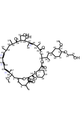 COC1CC2CCC(C)C(=O)C(O)(O2)C(=O)N2CCCCC2C(=O)OC(C(C)CC2CCC(OCCO)C(OC)C2)CC(=O)C(C)/C=C(\C)C(O)C(CO)C(=O)C(C)CC(C)/C=C/C=C/C=C/1C